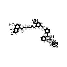 O=C(NC(c1ccccc1)c1cccc(OCc2ccc(C(=O)O)c(CCCCNC[C@H](O)c3ccc(O)c4[nH]c(=O)ccc34)c2)c1)O[C@H]1CN2CCC1CC2